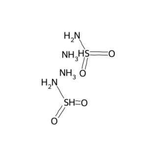 N.N.N[SH](=O)=O.N[SH](=O)=O